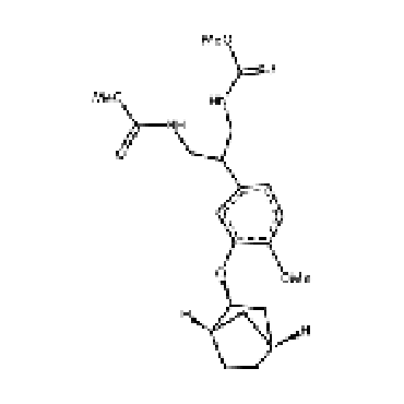 COC(=O)NCC(CNC(=O)OC)c1ccc(OC)c(O[C@H]2C[C@@H]3CC[C@H]2C3)c1